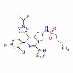 CCCCS(=O)(=O)N[C@H]1CC2=C(c3cnn(C(F)F)c3)[C@H](c3ccc(F)cc3Cl)N=C(c3nccs3)N2C1